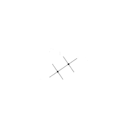 O=C(O)C(F)(F)C(F)(F)C(F)(F)F.[Zn]